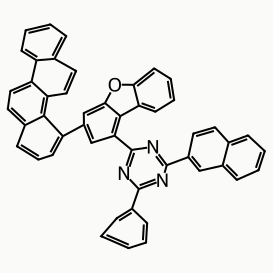 c1ccc(-c2nc(-c3ccc4ccccc4c3)nc(-c3cc(-c4cccc5ccc6c7ccccc7ccc6c45)cc4oc5ccccc5c34)n2)cc1